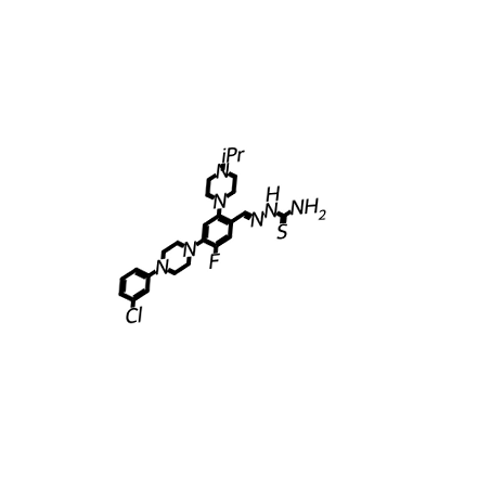 CC(C)N1CCN(c2cc(N3CCN(c4cccc(Cl)c4)CC3)c(F)cc2C=NNC(N)=S)CC1